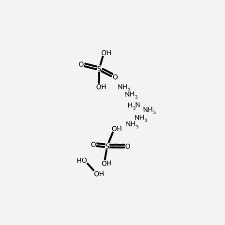 N.N.N.N.N.N.O=S(=O)(O)O.O=S(=O)(O)O.OO